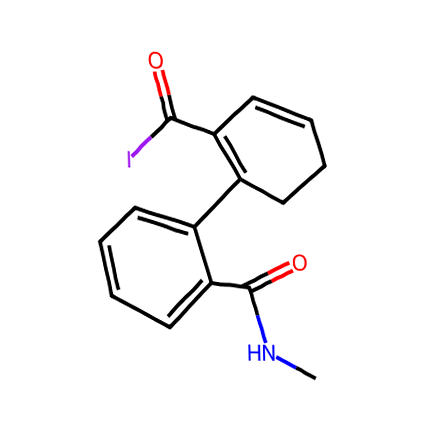 CNC(=O)c1ccccc1C1=C(C(=O)I)C=CCC1